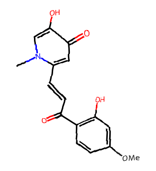 COc1ccc(C(=O)C=Cc2cc(=O)c(O)cn2C)c(O)c1